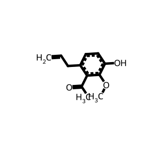 C=CCc1ccc(O)c(OC)c1C(C)=O